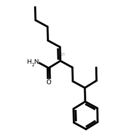 CCCC/C=C(/CCC(CC)c1ccccc1)C(N)=O